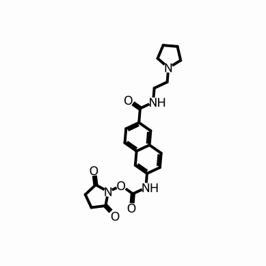 O=C(Nc1ccc2cc(C(=O)NCCN3CCCC3)ccc2c1)ON1C(=O)CCC1=O